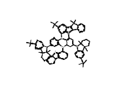 CC(C)(C)c1ccc2c(c1)C1(C)CCCCC1(C)N2C1=CC2=C3B(c4ccc(N5c6ccc(C(C)(C)C)cc6C6(C)CCCCC56C)cc4N(c4cccc5c4sc4ccccc45)C3C1)c1cc(C(C)(C)C)cc3c4c(n2c13)-c1ccccc1C4(C)C